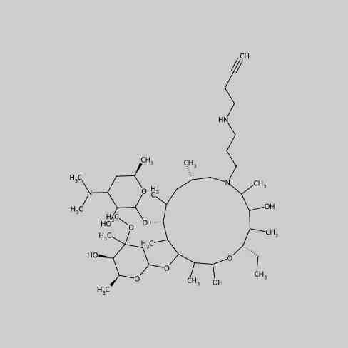 C#CCCNCCCN1C[C@@H](C)CC(C)[C@@H](OC2O[C@H](C)CC(N(C)C)C2O)C(C)C(OC2CC(C)(OC)[C@H](O)[C@H](C)O2)C(C)C(O)O[C@@H](CC)C(C)C(O)C1C